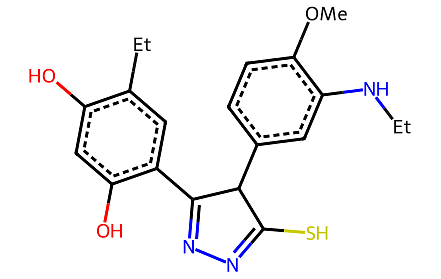 CCNc1cc(C2C(S)=NN=C2c2cc(CC)c(O)cc2O)ccc1OC